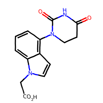 O=C(O)Cn1ccc2c(N3CCC(=O)NC3=O)cccc21